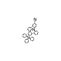 N#Cc1ccc2c(c1)c1ccccc1n2-c1ccccc1-c1cccc([Si](c2ccccc2)(c2ccccc2)c2ccccc2)c1